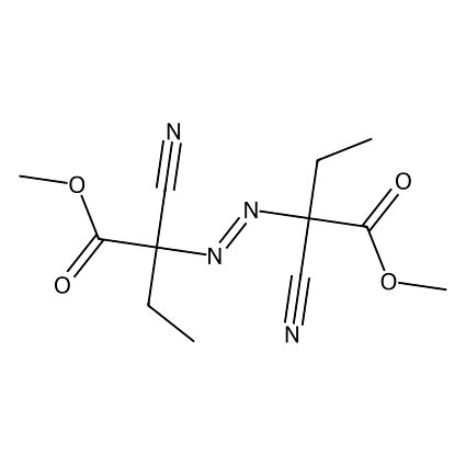 CCC(C#N)(N=NC(C#N)(CC)C(=O)OC)C(=O)OC